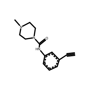 C#Cc1cccc(NC(=O)N2CCN(C)CC2)c1